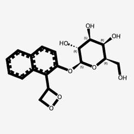 OC[C@H]1O[C@@H](Oc2ccc3ccccc3c2C2COO2)[C@H](O)[C@@H](O)[C@H]1O